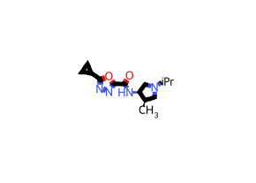 CC(C)N1C[C@H](NC(=O)c2nnc(C3CC3)o2)[C@@H](C)C1